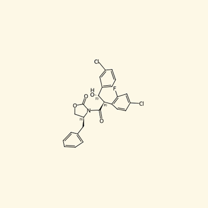 O=C1OC[C@H](Cc2ccccc2)N1C(=O)[C@H](c1ccc(Cl)cc1F)[C@H](O)c1cccc(Cl)c1